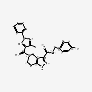 Cc1nn(-c2ccccc2)nc1C(=O)N1CCc2onc(C(=O)NCc3ccc(F)cc3)c2C1